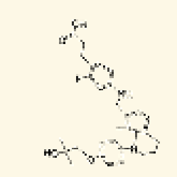 Cc1c(CNc2ccc(CCC(=O)O)c(F)c2)ccc2c1N(c1ccc(OCC(C)(C)O)cc1)CCC2